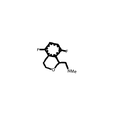 CNCC1OCCc2c(F)ccc(F)c21